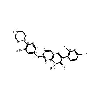 CCn1c(=O)c(-c2ccc(Cl)cc2Cl)cc2cnc(Nc3ccc(N4CCNCC4)c(F)c3)nc21